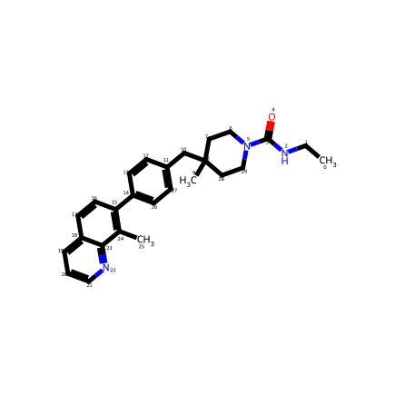 CCNC(=O)N1CCC(C)(Cc2ccc(-c3ccc4cccnc4c3C)cc2)CC1